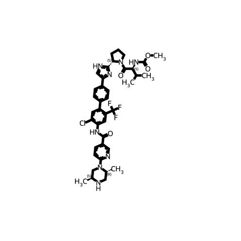 COC(=O)N[C@H](C(=O)N1CCC[C@H]1c1nc(-c2ccc(-c3cc(Cl)c(NC(=O)c4ccc(N5C[C@H](C)NC[C@H]5C)nc4)cc3C(F)(F)F)cc2)c[nH]1)C(C)C